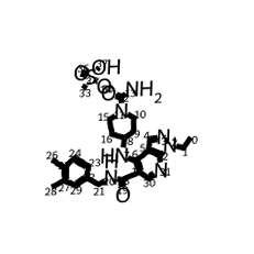 CCn1ncc2c(NC3CCN(C(N)=O)CC3)c(C(=O)NCc3ccc(C)c(C)c3)cnc21.CS(=O)(=O)O